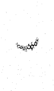 CCc1c(F)c(-c2ccc3c(c2)OC(F)(F)O3)nc(C)c1CC(=O)NS(=O)(=O)c1cc2n(n1)CC(OC)CO2